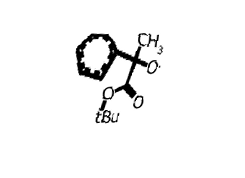 CC(C)(C)OC(=O)C(C)([O])c1ccccc1